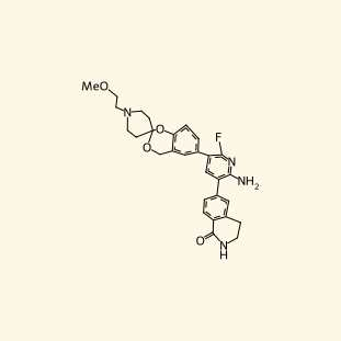 COCCN1CCC2(CC1)OCc1cc(-c3cc(-c4ccc5c(c4)CCNC5=O)c(N)nc3F)ccc1O2